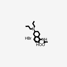 Br.CCCN(CCC)C1CCc2c(ccc(O)c2NC(C)=O)C1